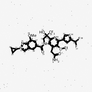 CCOc1c(CC(N)=O)cc([C@@](O)(CNC(=O)c2cc(OC)c3nn(C4CC4)cc3c2)C(F)(F)F)nc1-c1csc(C(F)F)c1